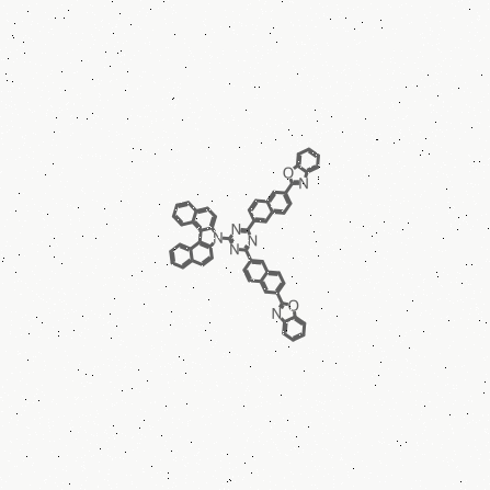 c1ccc2c(c1)ccc1c2c2c3ccccc3ccc2n1-c1nc(-c2ccc3cc(-c4nc5ccccc5o4)ccc3c2)nc(-c2ccc3cc(-c4nc5ccccc5o4)ccc3c2)n1